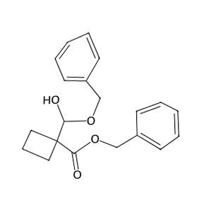 O=C(OCc1ccccc1)C1(C(O)OCc2ccccc2)CCC1